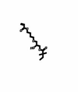 C=CC(=O)OCCCCOCC(O)COC(=O)C(C)(C)CC